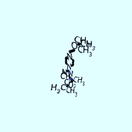 C=N/C(=N\C=C(/C)OC(C)(C)C)N1CCN(CCOC(C)(C)C)CC1